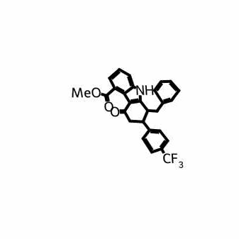 COC(=O)c1cccc2[nH]c3c(c12)C(=O)CC(c1ccc(C(F)(F)F)cc1)C3Cc1ccccc1